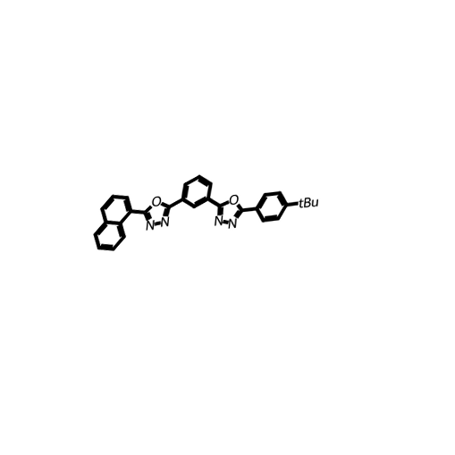 CC(C)(C)c1ccc(-c2nnc(-c3cccc(-c4nnc(-c5cccc6ccccc56)o4)c3)o2)cc1